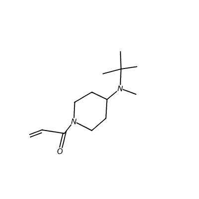 C=CC(=O)N1CCC(N(C)C(C)(C)C)CC1